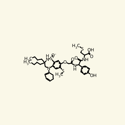 CCCCC1(CCCC)CN(C2=CC=CCC2)c2cc(SC)c(OCC(=O)NC(C(=O)NC(CSC)C(=O)O)c3ccc(O)cc3)cc2[S+]([O-])N1